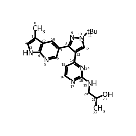 Cc1c[nH]c2ncc(-c3nn(C(C)(C)C)cc3-c3ccnc(NC[C@H](C)O)n3)cc12